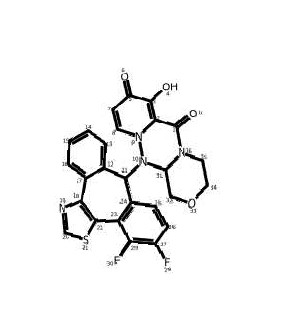 O=C1c2c(O)c(=O)ccn2N(C2c3ccccc3-c3ncsc3-c3c2ccc(F)c3F)C2COCCN12